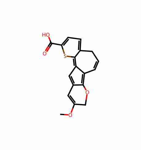 COC1=CC2=CC3=C4SC(C(=O)O)=CC=C4CC=CC3=C2OC1